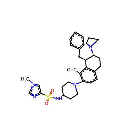 Cn1cnc(S(=O)(=O)NC2CCN(c3ccc4c(c3C=O)[C@@H](Cc3ccccc3)[C@@H](N3CCC3)CC4)CC2)c1